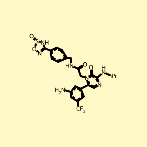 CC(C)Nc1ncc(-c2cc(N)cc(C(F)(F)F)c2)n(CC(=O)NCc2ccc(C3=NOS(=O)N3)cc2)c1=O